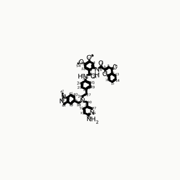 COc1cc(NC(=O)c2cc(=O)c3ccccc3o2)c(C(=O)Nc2ccc(CCN(Cc3ccc(N)nc3)Cc3ccc4c(cnn4C)c3)cc2)cc1OC